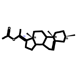 CC(=O)O/C(C)=C1\CCC2C3CC=C4C[C@@H](C)CC[C@]4(C)C3CC[C@]12C